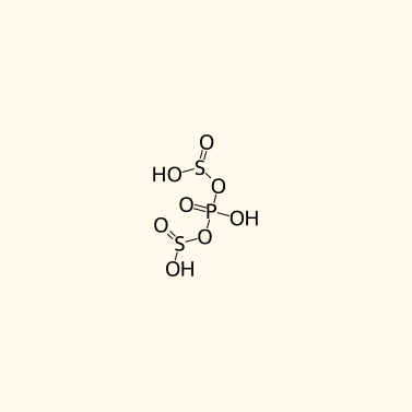 O=S(O)OP(=O)(O)OS(=O)O